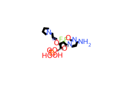 Nc1ccn([C@@H]2O[C@H](COP(=O)(O)O)[C@H](O/C=C/CN3CCCC3)C2(F)F)c(=O)n1